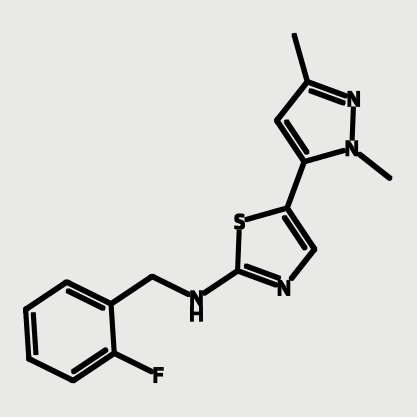 Cc1cc(-c2cnc(NCc3ccccc3F)s2)n(C)n1